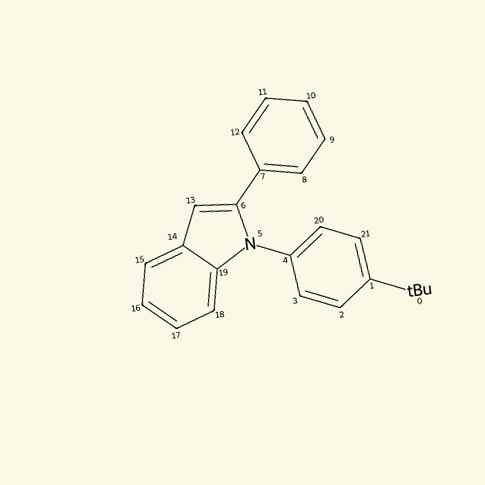 CC(C)(C)c1ccc(-n2c(-c3ccccc3)cc3ccccc32)cc1